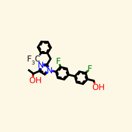 CC(O)c1cn(-c2ccc(-c3ccc(CO)c(F)c3)cc2F)c(Cc2ccccc2C(F)(F)F)n1